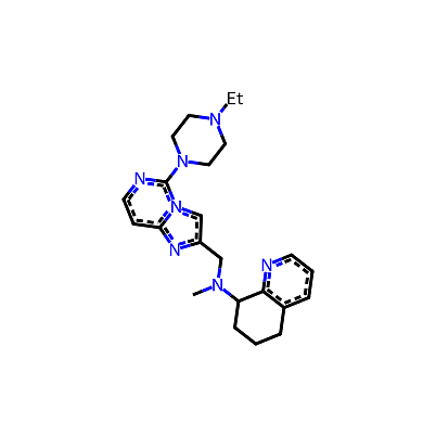 CCN1CCN(c2nccc3nc(CN(C)C4CCCc5cccnc54)cn23)CC1